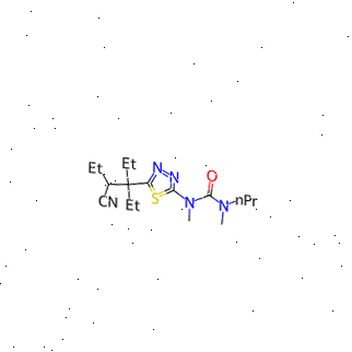 CCCN(C)C(=O)N(C)c1nnc(C(CC)(CC)C(C#N)CC)s1